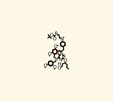 CCCC(CCO)Oc1nc(N(Cc2ccc(OC)cc2OC)Cc2ccc(OC)cc2OC)c2ncc(Cc3ccc(N(C)CCN(C)C(=O)OC(C)(C)C)cc3)n2n1